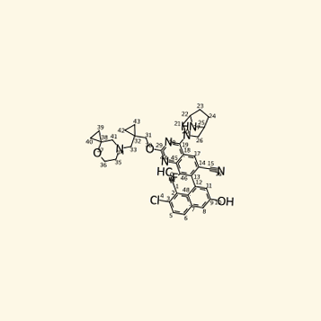 C#Cc1c(Cl)ccc2cc(O)cc(-c3c(C#N)cc4c(N5CC6CCC(C5)N6)nc(OCC5(CN6CCOC7(CC7)C6)CC5)nc4c3F)c12